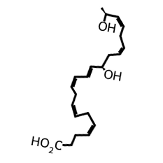 C[C@H](O)/C=C\C/C=C\C[C@@H](O)/C=C/C=C\C/C=C\C/C=C\CCC(=O)O